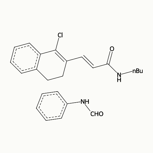 CCCCNC(=O)C=CC1=C(Cl)c2ccccc2CC1.O=CNc1ccccc1